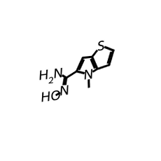 Cn1c(/C(N)=N/O)cc2sccc21